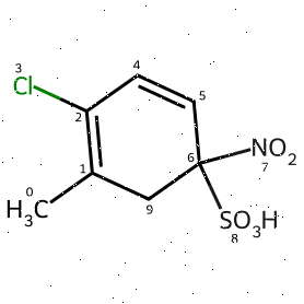 CC1=C(Cl)C=CC([N+](=O)[O-])(S(=O)(=O)O)C1